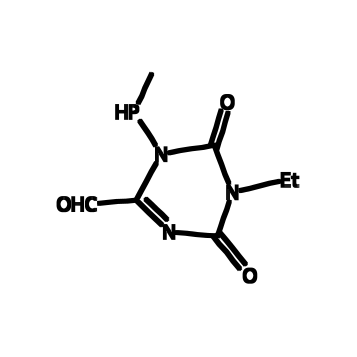 CCn1c(=O)nc(C=O)n(PC)c1=O